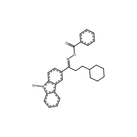 CCn1c2ccccc2c2cc(/C(CCC3CCCCC3)=N/OC(=O)c3ccccc3)ccc21